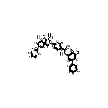 CCC1(CN(C)c2ccc(C(=O)Nc3cc(-c4ccccc4)ccc3N)cn2)CCN(c2ncccn2)C1